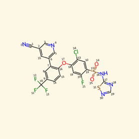 N#Cc1cncc(-c2cc(C(F)(F)F)ccc2Oc2cc(F)c(S(=O)(=O)Nc3ncns3)cc2Cl)c1